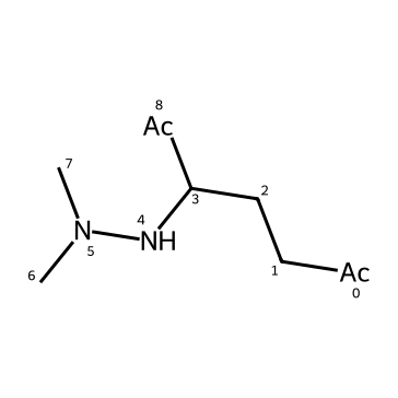 CC(=O)CCC(NN(C)C)C(C)=O